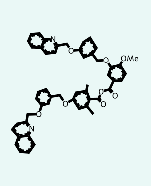 COc1ccc(C(=O)OC(=O)c2c(C)cc(OCc3cccc(OCc4ccc5ccccc5n4)c3)cc2C)cc1OCc1cccc(OCc2ccc3ccccc3n2)c1